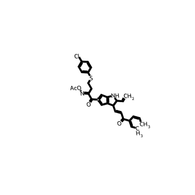 C=CC1NC2=C(C=I(C(=O)/C(CCSc3ccc(Cl)cc3)=N/OC(C)=O)=C2)C1/C=C/C(=O)C(/C=C\C)=C/C